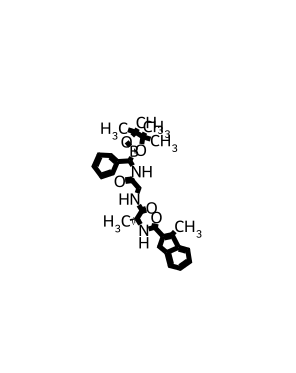 CC1=C(C(=O)N[C@H](C)C(=O)NCC(=O)NC(B2OC(C)(C)C(C)(C)O2)c2ccccc2)Cc2ccccc21